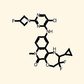 Cn1c(=O)c2c(c3cc(Nc4nc(N5CC(F)C5)ncc4Cl)ccc31)NC(C1CC1)C(F)(F)CO2